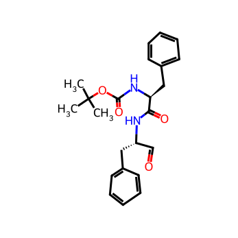 CC(C)(C)OC(=O)N[C@@H](Cc1ccccc1)C(=O)N[C@H](C=O)Cc1ccccc1